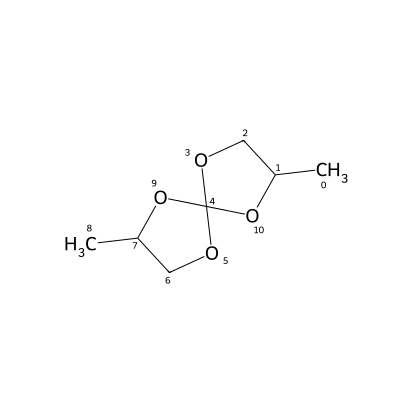 CC1COC2(OCC(C)O2)O1